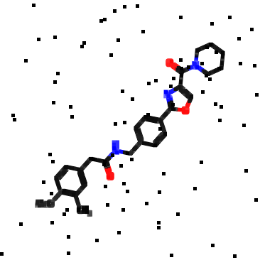 COc1ccc(CC(=O)NCc2ccc(-c3nc(C(=O)N4CCCCC4)co3)cc2)cc1C